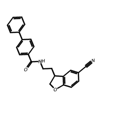 N#Cc1ccc2c(c1)C(CCNC(=O)c1ccc(-c3ccccc3)cc1)CO2